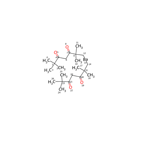 CC(C)(C)C(=O)CC(=O)C(C)(C)[CH2][Ba][CH2]C(C)(C)C(=O)CC(=O)C(C)(C)C